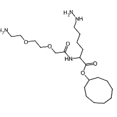 NCCOCCOCC(=O)NC(CCCCNN)C(=O)OC1CCCCCCCC1